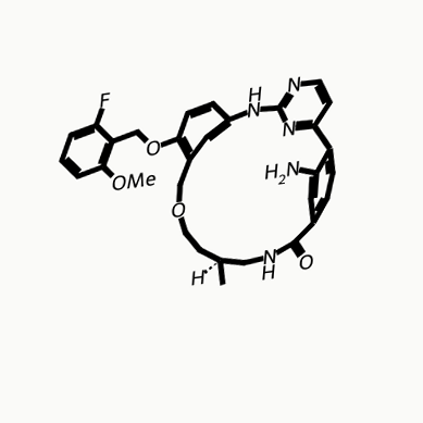 COc1cccc(F)c1COc1ccc2cc1COCC[C@H](C)CNC(=O)c1ccc(c(N)c1)-c1ccnc(n1)N2